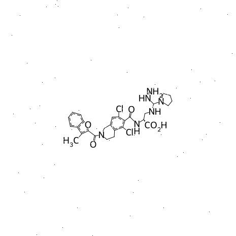 Cc1c(C(=O)N2CCc3c(cc(Cl)c(C(=O)N[C@@H](CNC(NN)N4CCCC4)C(=O)O)c3Cl)C2)oc2ccccc12